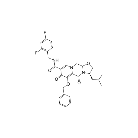 CC(C)C[C@@H]1COC2Cn3cc(C(=O)NCc4ccc(F)cc4F)c(=O)c(OCc4ccccc4)c3C(=O)N21